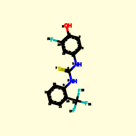 Oc1ccc(NC(=S)Nc2ccccc2C(F)(F)F)cc1F